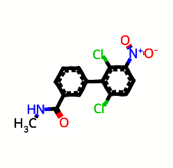 CNC(=O)c1cccc(-c2c(Cl)ccc([N+](=O)[O-])c2Cl)c1